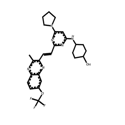 Cc1nc2ccc(OC(F)(F)F)cc2nc1C=Cc1nc(NC2CCC(O)CC2)cc(N2CCCC2)n1